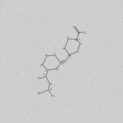 C=C(C)N1CCN(/C=C2\CCCC(C(C)CC(C)C)C2)CC1